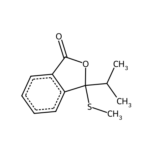 CSC1(C(C)C)OC(=O)c2ccccc21